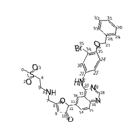 CS(=O)(=O)CCNCC1=CC(=O)C(c2ccc3ncnc(Nc4ccc(OCc5ccccc5)c(Br)c4)c3c2)O1